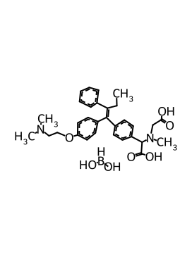 CCC(=C(c1ccc(OCCN(C)C)cc1)c1ccc(C(C(=O)O)N(C)CC(=O)O)cc1)c1ccccc1.OBO